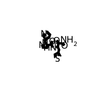 NC(=O)C(=O)C(Cc1ccsc1)NC(=O)c1ccnn1-c1cccnc1